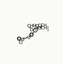 C=CCOC1CN(C(=O)OC(C)(C)C)CCC1c1ccc(OCCCOc2ccccc2Cl)cc1